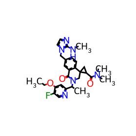 CCOc1cc(C(C)N2CC3(CC3C(=O)N(C)C)c3ccc(Cn4ccnc4NC)cc3C2=O)ncc1F